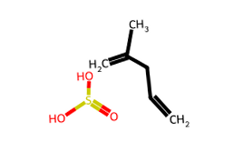 C=CCC(=C)C.O=S(O)O